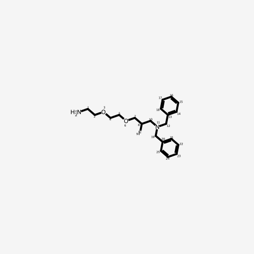 NCCOCCOCC(F)CN(Cc1ccccc1)Cc1ccccc1